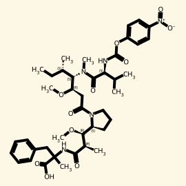 CC[C@H](C)[C@@H]([C@@H](CC(=O)N1CCC[C@H]1[C@H](OC)[C@@H](C)C(=O)NC(C)(Cc1ccccc1)C(=O)O)OC)N(C)C(=O)[C@@H](NC(=O)Oc1ccc([N+](=O)[O-])cc1)C(C)C